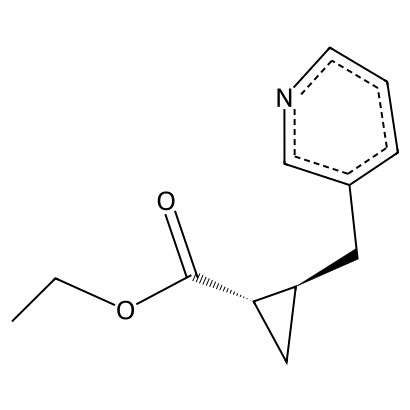 CCOC(=O)[C@H]1C[C@@H]1Cc1cccnc1